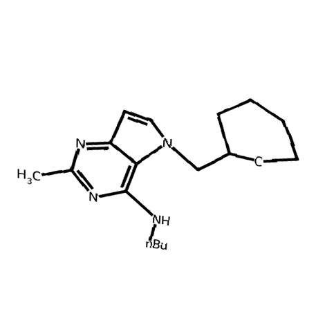 CCCCNc1nc(C)nc2ccn(CC3CCCCC3)c12